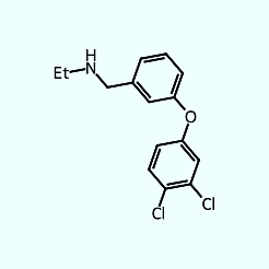 CCNCc1cccc(Oc2ccc(Cl)c(Cl)c2)c1